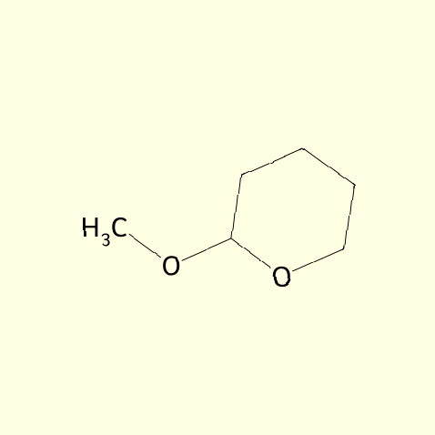 COC1CCCCO1